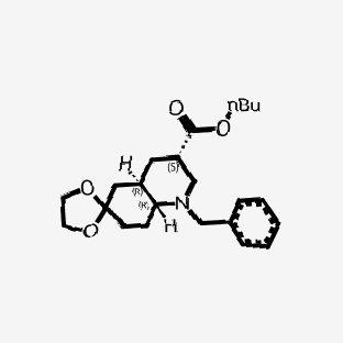 CCCCOC(=O)[C@H]1C[C@@H]2CC3(CC[C@H]2N(Cc2ccccc2)C1)OCCO3